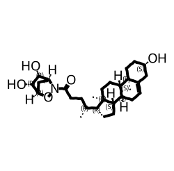 C[C@H](CCC(=O)N1O[C@@H]2C[C@H]1[C@@H](O)[C@H]2O)[C@H]1CC[C@H]2[C@@H]3CC=C4C[C@@H](O)CC[C@]4(C)[C@H]3CC[C@]12C